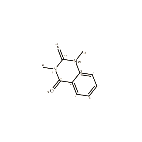 Cn1c(=O)c2ccccc2n(C)c1=S